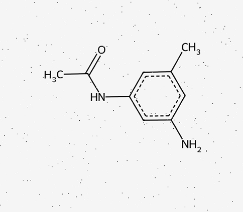 CC(=O)Nc1cc(C)cc(N)c1